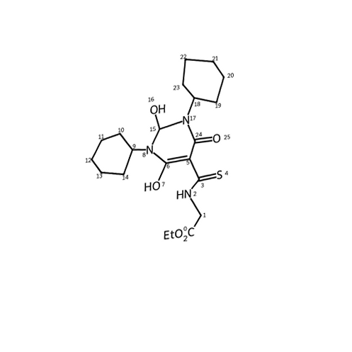 CCOC(=O)CNC(=S)C1=C(O)N(C2CCCCC2)C(O)N(C2CCCCC2)C1=O